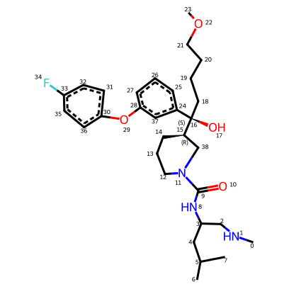 CNCC(CC(C)C)NC(=O)N1CCC[C@@H]([C@@](O)(CCCCOC)c2cccc(Oc3ccc(F)cc3)c2)C1